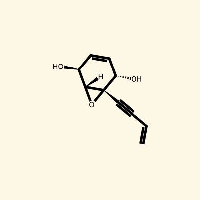 C=CC#C[C@@]12O[C@@H]1[C@@H](O)C=C[C@@H]2O